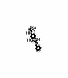 CC(C)(C)OC(=O)N[C@@H]1CC[C@@H](NC(=O)OCc2ccccc2)[C@H](O)C1